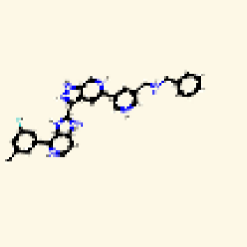 Cc1cc(F)cc(-c2nccc3[nH]c(-c4n[nH]c5cnc(-c6cncc(CNCc7ccccc7)c6)cc45)nc23)c1